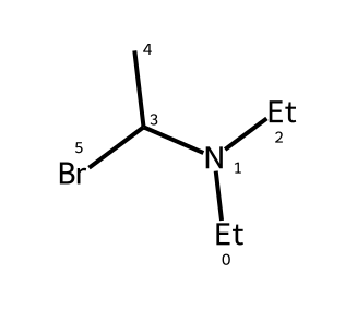 CCN(CC)C(C)Br